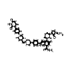 CN1CCN([C@@H]2CCCN(c3c(F)cc(C(N)=O)c4[nH]c(-c5ccc(C6CCN(CC7CCN(c8ccc(C9CCC(=O)NC9=O)cc8)CC7)CC6)cc5)cc34)C2)C1=O